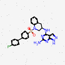 Nc1nc(NC2Cc3ccccc3N(S(=O)(=O)c3ccc(-c4ccc(F)cc4)cc3)C2)c2cn[nH]c2n1